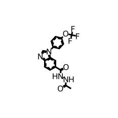 CC(=O)NNC(=O)c1ccc2ncn(-c3ccc(OC(F)(F)F)cc3)c2c1